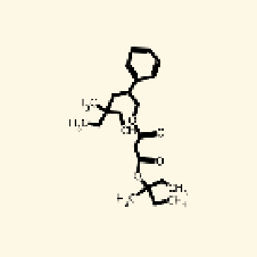 CCC(C)(CC)CC(COC(=O)CC(=O)OC(C)(CC)CC)c1ccccc1